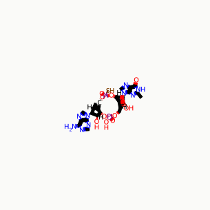 Cc1nc2c(ncn2[C@@H]2O[C@@H]3COP(=O)(O)O[C@H]4[C@@H](O)[C@H](n5cnc6c(N)ncnc65)[C@H]5C[C@]54CO[P@@](=O)(S)O[C@@H]2[C@@H]3CO)c(=O)[nH]1